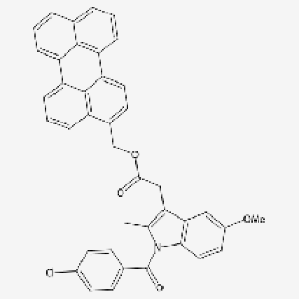 COc1ccc2c(c1)c(CC(=O)OCc1ccc3c4cccc5cccc(c6cccc1c63)c54)c(C)n2C(=O)c1ccc(Cl)cc1